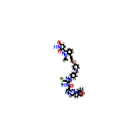 O=C1CCC(c2nn(C3CC3)c3c(C#CCOC4CCN(CC5=CCC(n6cc(NC(=O)c7cnn8ccc(N9C[C@@H]%10C[C@H]9CO%10)nc78)c(C(F)F)n6)CC5)CC4)cccc23)C(=O)N1